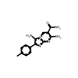 Cc1ccc(-c2nc3nc(N)c(C(N)=O)cn3c2N)cc1